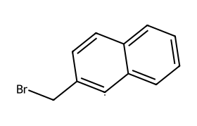 BrCc1[c]c2ccccc2cc1